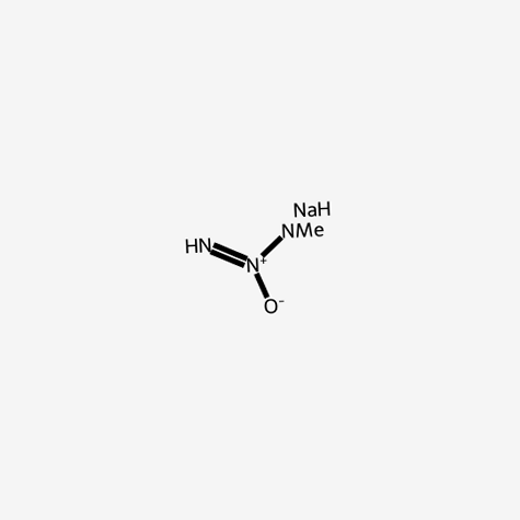 CN[N+](=N)[O-].[NaH]